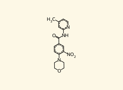 Cc1ccnc(NC(=O)c2ccc(N3CCOCC3)c([N+](=O)[O-])c2)c1